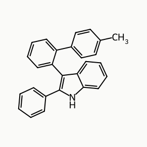 Cc1ccc(-c2ccccc2-c2c(-c3ccccc3)[nH]c3ccccc23)cc1